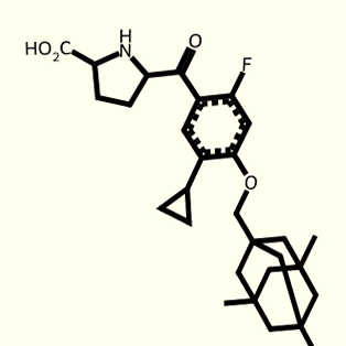 CC12CC3(C)CC(C)(C1)CC(COc1cc(F)c(C(=O)C4CCC(C(=O)O)N4)cc1C1CC1)(C2)C3